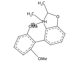 COc1cccc(OC)c1-c1cccc2c1[PH](C)(C(C)(C)C)C(C)O2